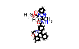 COC(=O)Cn1c(C(C)(C)NC(=O)c2ccc3c(C4CCCCC4)c4n(c3c2)CCOc2ccccc2-4)nc2ccccc21